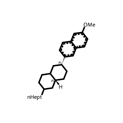 CCCCCCCC1CCC2C[C@H](c3ccc4cc(OC)ccc4c3)CC[C@@H]2C1